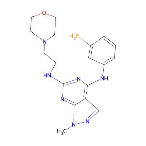 Cn1ncc2c(Nc3cccc(P)c3)nc(NCCN3CCOCC3)nc21